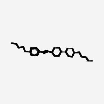 CCCCCc1ccc(C#CC2CCC([C@H]3CC[C@H](CCCCC)CC3)CC2)cc1